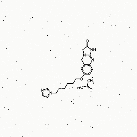 CC(=O)O.O=C1CN2Cc3cc(OCCCCCCn4ccnc4)ccc3N=C2N1